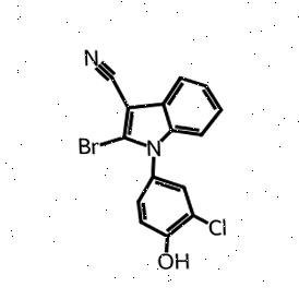 N#Cc1c(Br)n(-c2ccc(O)c(Cl)c2)c2ccccc12